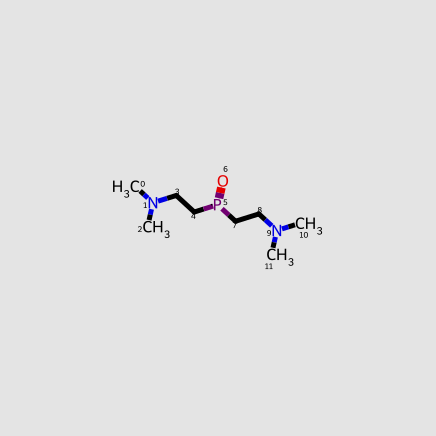 CN(C)CC[P](=O)CCN(C)C